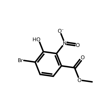 COC(=O)c1ccc(Br)c(O)c1[N+](=O)[O-]